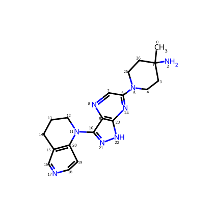 CC1(N)CCN(c2cnc3c(N4CCCc5cnccc54)n[nH]c3n2)CC1